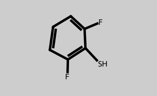 Fc1cccc(F)c1S